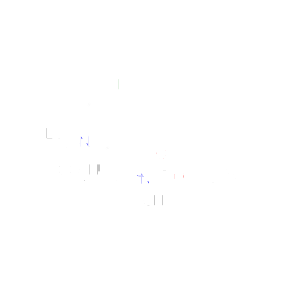 CCC(C(=O)O)n1c2c(c3cc(F)ccc31)C[C@@H](N(C)C(=O)OCc1ccccc1)CC2